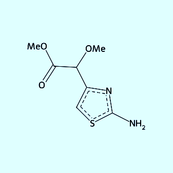 COC(=O)C(OC)c1csc(N)n1